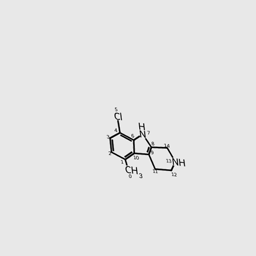 Cc1ccc(Cl)c2[nH]c3c(c12)CCNC3